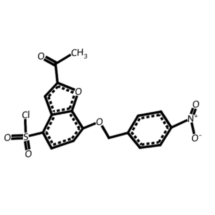 CC(=O)c1cc2c(S(=O)(=O)Cl)ccc(OCc3ccc([N+](=O)[O-])cc3)c2o1